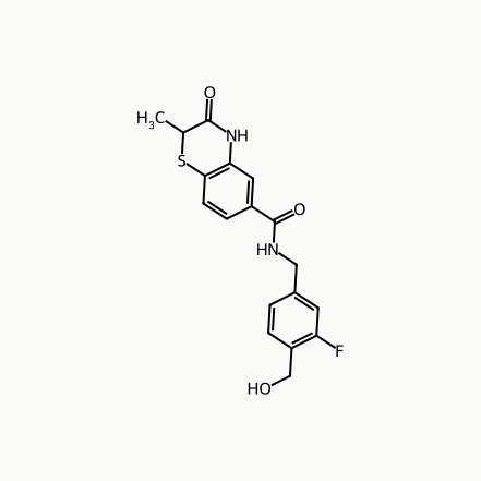 CC1Sc2ccc(C(=O)NCc3ccc(CO)c(F)c3)cc2NC1=O